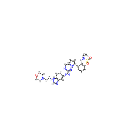 CN(Cc1ccccc1-c1ccc2cnc(Nc3ccc4c(c3)ncn4CCN3CCOCC3)nn12)[SH](=O)=O